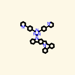 c1ccc(-c2ccc(-c3nc(-c4ccc(-c5ccccn5)cc4)nc(-n4c5ccccc5c5cc6c(cc54)cc4c5ccccc5c5ccccc5n64)n3)cc2)nc1